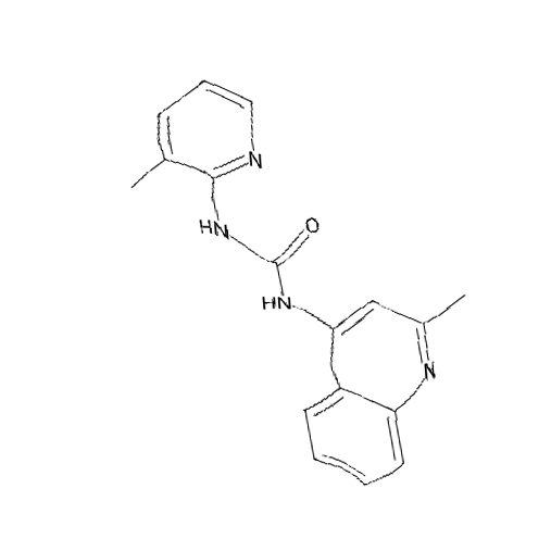 Cc1cc(NC(=O)Nc2ncccc2C)c2ccccc2n1